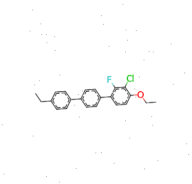 CCOc1ccc(-c2ccc(-c3ccc(CC)cc3)cc2)c(F)c1Cl